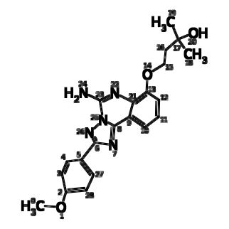 COc1ccc(-c2nc3c4cccc(OCCC(C)(C)O)c4nc(N)n3n2)cc1